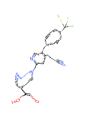 N#Cc1cc(-n2cc(C(=O)O)cn2)ncc1-c1ccc(C(F)(F)F)cc1